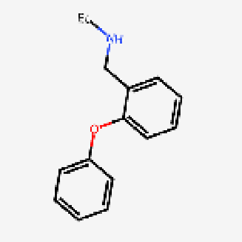 CCNCc1ccccc1Oc1ccccc1